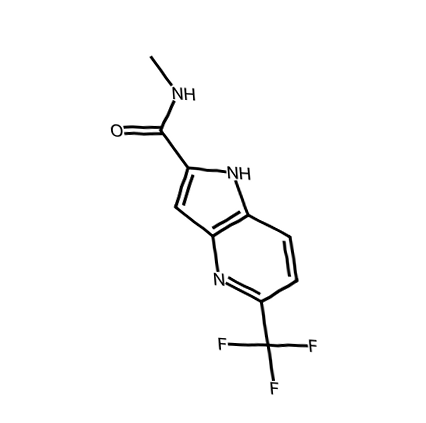 CNC(=O)c1cc2nc(C(F)(F)F)ccc2[nH]1